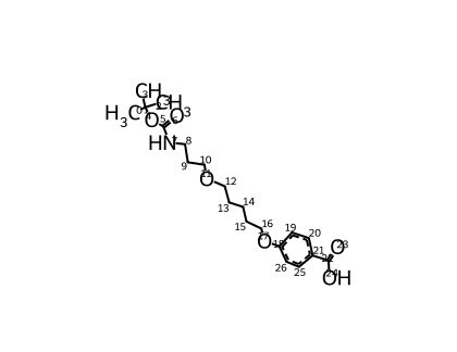 CC(C)(C)OC(=O)NCCCOCCCCCOc1ccc(C(=O)O)cc1